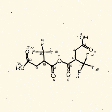 O=C(O)CC(C(=O)OC(=O)C(CC(=O)O)C(F)(F)F)C(F)(F)F